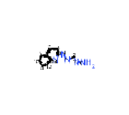 NN=CN=Nc1ccc2ccccc2n1